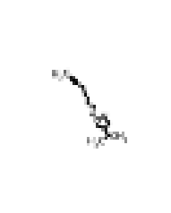 CC#CCCCCCCn1cc(C(C)C)cn1